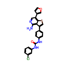 Nc1ncc(-c2ccoc2)c2scc(-c3ccc(NC(=O)Nc4cccc(Cl)c4)cc3)c12